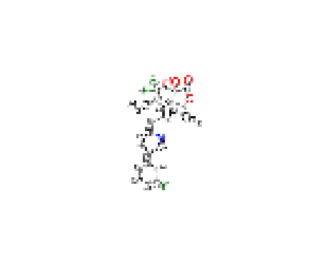 C[C@H]1OC(=O)[C@]2(O)CC(F)(F)[C@@H](C)[C@H](CCc3ccc(-c4cccc(F)c4)cn3)[C@H]12